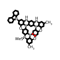 CSN1c2cc3c(cc2B2c4ccccc4Oc4cc(C)cc1c42)B1c2cc4c(cc2Nc2cc(-n5c6ccccc6c6ccccc65)cc(c21)O3)Nc1cc(C)cc2c1B4c1ccccc1O2